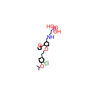 CC(C)Oc1ccc(CCCOc2ccc(CNCCCP(=O)(O)O)cc2-c2ccco2)cc1Cl